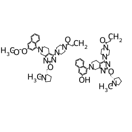 C=CC(=O)N1CCN(c2nc(OC[C@@H]3CCCN3C)nc3c2CCN(c2cc(O)cc4ccccc24)C3)CC1.C=CC(=O)N1CCN(c2nc(OC[C@@H]3CCCN3C)nc3c2CCN(c2cc(OCOC)cc4ccccc24)C3)CC1